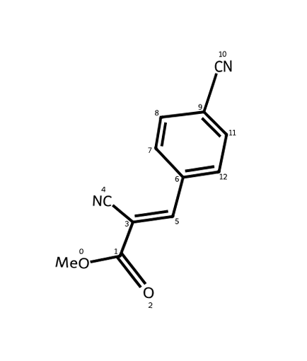 COC(=O)/C(C#N)=C/c1ccc(C#N)cc1